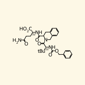 CC(C)(C)[C@H](NC(=O)OCc1ccccc1)C(=O)N1Cc2ccccc2CC1C(=O)N[C@@H](CCC(N)=O)C(=O)O